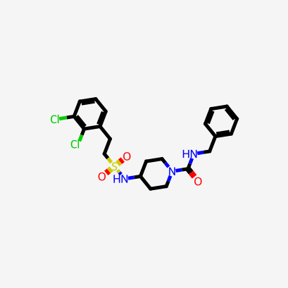 O=C(NCc1ccccc1)N1CCC(NS(=O)(=O)CCc2cccc(Cl)c2Cl)CC1